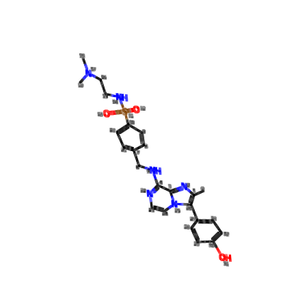 Cc1nc2c(NCc3ccc(S(=O)(=O)NCCN(C)C)cc3)nccn2c1-c1ccc(O)cc1